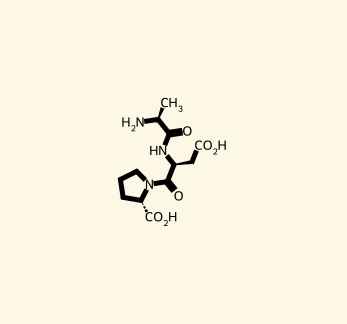 C[C@H](N)C(=O)N[C@@H](CC(=O)O)C(=O)N1CCC[C@H]1C(=O)O